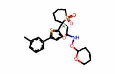 Cc1cccc(-c2ccc([C@@]3(CC(=O)NOC4CCCCO4)CCCCS3(=O)=O)s2)c1